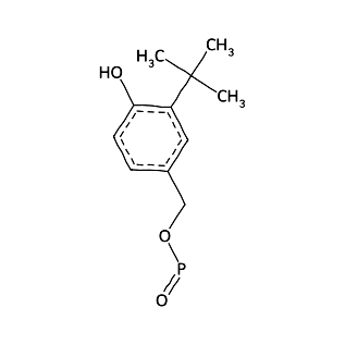 CC(C)(C)c1cc(COP=O)ccc1O